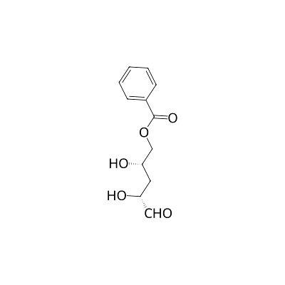 O=C[C@H](O)C[C@H](O)COC(=O)c1ccccc1